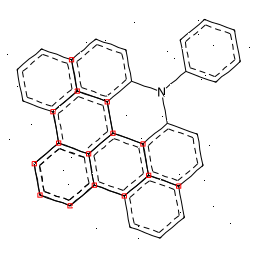 c1ccc(-c2cccc3cccc(-c4ccccc4N(c4ccccc4)c4ccccc4-c4cccc5cccc(-c6ccccc6)c45)c23)cc1